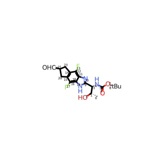 C[C@H](O)[C@@H](NC(=O)OC(C)(C)C)c1nc2c(F)c3c(c(F)c2[nH]1)CC(C=O)C3